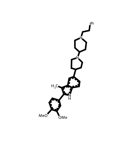 COc1ccc(-c2[nH]c3ccc(C4CCN(C5CCN(CCC(C)C)CC5)CC4)cc3c2C)cc1OC